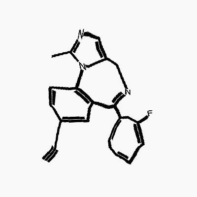 C#Cc1ccc2c(c1)C(c1ccccc1F)=NCc1cnc(C)n1-2